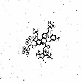 C[C@@H]1c2c(C(F)(F)F)nn(CC(=O)N[C@@H](Cc3cc(F)cc(F)c3)c3nc(CCC(C)(C)S(C)(=O)=O)ccc3-c3ccc(Cl)c4c(N(CCOP(=O)(O)O)S(C)(=O)=O)nn(CC(F)(F)F)c34)c2C(F)(F)[C@@H]1C